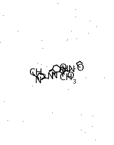 CCc1ccc(Cn2cc3c(n2)-c2c(oc(C(=O)NC[C@@H]4CCCO4)c2C)CC3)cn1